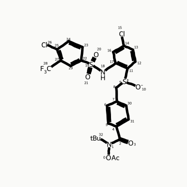 CC(=O)ON(C(=O)c1ccc(C[S+]([O-])c2ccc(Cl)cc2NS(=O)(=O)c2ccc(Cl)c(C(F)(F)F)c2)cc1)C(C)(C)C